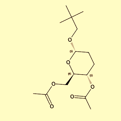 CC(=O)OC[C@H]1O[C@H](OCC(C)(C)C)CC[C@@H]1OC(C)=O